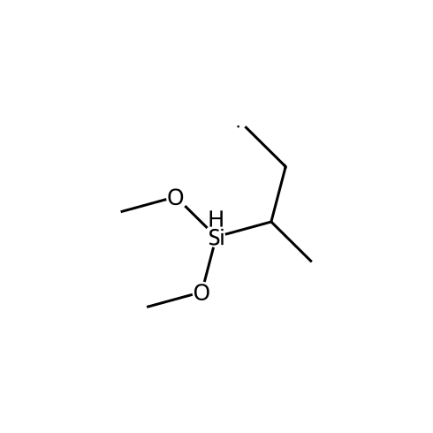 [CH2]CC(C)[SiH](OC)OC